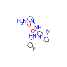 N#Cc1ccccc1-c1ccc(C(=O)NCCN2CCC[C@H](N)C2=O)c(NCCc2cccc(F)c2)n1